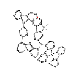 CC1(C)c2ccccc2-c2ccc(N(c3cccc4c3-c3ccccc3C43c4ccccc4-c4ccccc43)c3cccc4c3oc3c(-c5ccc(-n6c7ccccc7c7ccccc76)cc5)cccc34)cc21